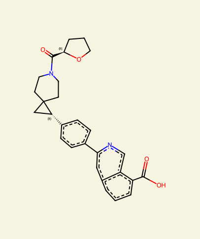 O=C(O)c1cccc2cc(-c3ccc([C@@H]4CC45CCN(C(=O)[C@H]4CCCO4)CC5)cc3)ncc12